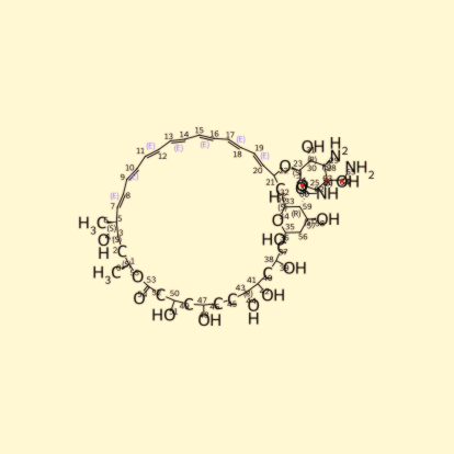 C[C@H]1C[C@H](O)[C@@H](C)/C=C/C=C/C=C/C=C/C=C/C=C/C=C/C(O[C@@H]2OC[C@@H](O)[C@H](N)[C@H]2O)C[C@@H]2OC(O)(CC(O)CC(O)[C@H](O)CCC(O)CC(O)CC(=O)O1)C[C@H](O)[C@H]2C(=O)NCCN